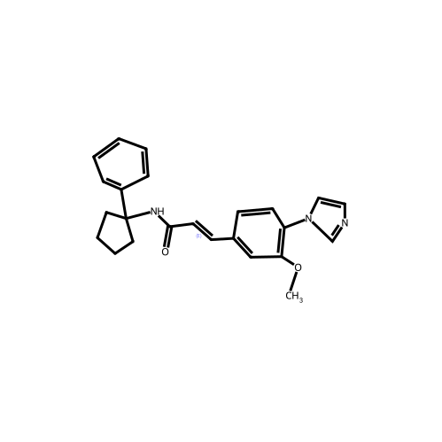 COc1cc(/C=C/C(=O)NC2(c3ccccc3)CCCC2)ccc1-n1ccnc1